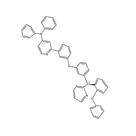 c1ccc(Oc2ccccc2[C@H](c2cccc(Oc3cccc(-c4cc(N(c5ccccc5)c5ccccc5)ccn4)c3)c2)c2ccccn2)cc1